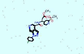 COC(=O)C[C@H](NC(=O)c1cncc2c1cnn2-c1ccc(F)cc1)c1ccnc(S(C)(=O)=O)c1